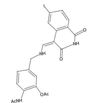 CC(=O)Nc1ccc(CNC=C2C(=O)NC(=O)c3ccc(I)cc32)cc1OC(C)=O